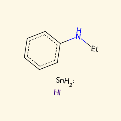 CCNc1ccccc1.I.[SnH2]